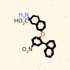 NC1(C(=O)O)CCc2ccc(Oc3ccc([N+](=O)[O-])cc3-c3cccc4ccccc34)cc2C1